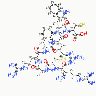 C[C@@H](NC(=O)[C@H](CS)NC(=O)[C@@H](N)CCCNC(=N)N)C(=O)N[C@@H](CCCNC(=N)N)C(=O)N[C@H](Cc1ccccc1)C(=O)N[C@@H](CCCNC(=N)N)C(=O)N[C@H](Cc1c[nH]c2ccccc12)C(=O)N[C@@H](CS)C(=O)O